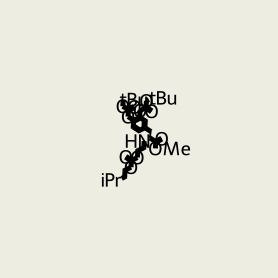 COC(=O)[C@H](Cc1ccc(OC(=O)OC(C)(C)C)c(OC(=O)OC(C)(C)C)c1)NCCOC(=O)OCCC(C)C